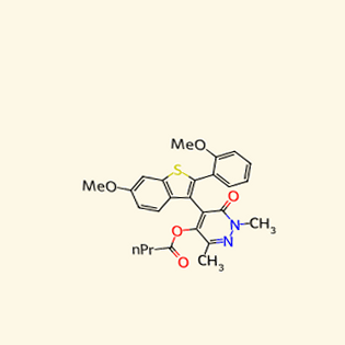 CCCC(=O)Oc1c(C)nn(C)c(=O)c1-c1c(-c2ccccc2OC)sc2cc(OC)ccc12